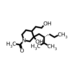 CCC[C@@H](CC1(O)CN(C(C)=O)CCC1CCO)C(C)C